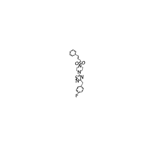 O=S(=O)(CC=Cc1ccccc1)N1CCN(c2nc(Cc3ccc(F)cc3)ns2)CC1